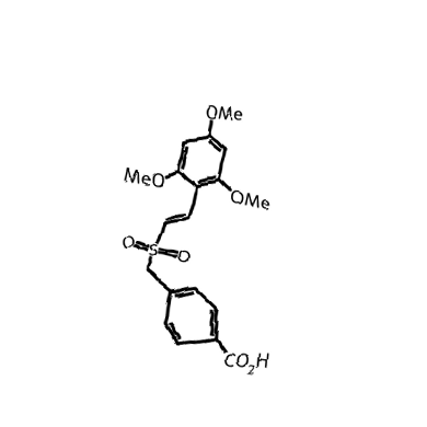 COc1cc(OC)c(/C=C/S(=O)(=O)Cc2ccc(C(=O)O)cc2)c(OC)c1